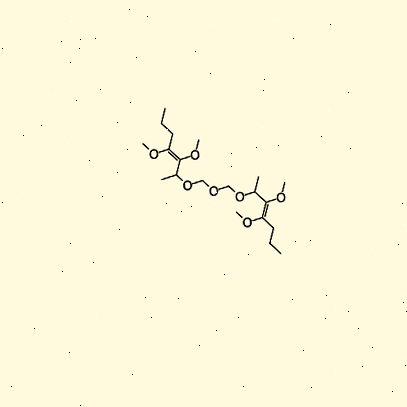 CCCC(OC)=C(OC)C(C)OCOCOC(C)C(OC)=C(CCC)OC